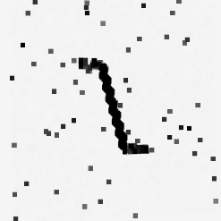 CCCCCCCCCCCCCCCCCCCCCCC[AsH2]